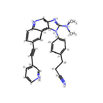 CN(C)c1nc2cnc3ccc(C#Cc4cccnc4)cc3c2n1-c1ccc(CCC#N)cc1